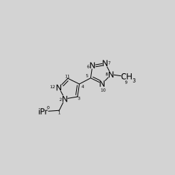 CC(C)Cn1cc(-c2nnn(C)n2)cn1